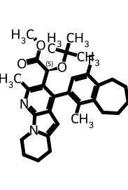 COC(=O)[C@@H](OC(C)(C)C)c1c(C)nc2c(cc3n2CCCC3)c1-c1cc(F)c2c(c1C)CCCCC2